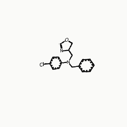 Clc1ccc(N(Cc2ccccc2)CC2CO[C]=N2)cc1